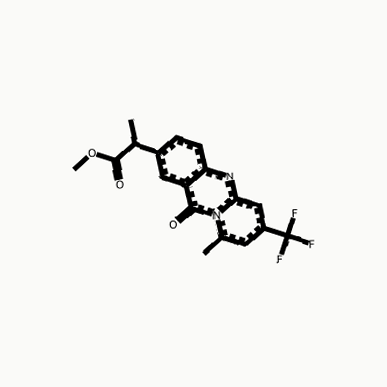 COC(=O)C(C)c1ccc2nc3cc(C(F)(F)F)cc(C)n3c(=O)c2c1